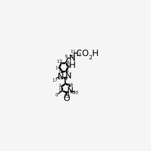 Cc1cc(-c2nc3cc(CNCC(=O)O)ccc3n2C)cn(C)c1=O